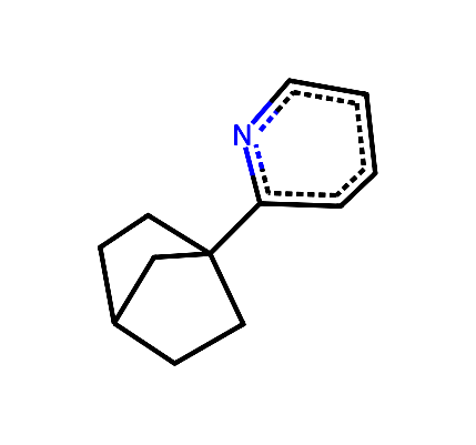 c1ccc(C23CCC(CC2)C3)nc1